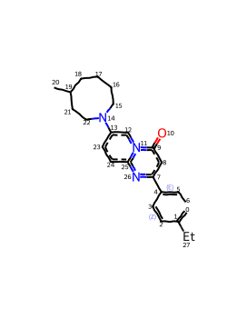 C=C(/C=C\C(=C/C)c1cc(=O)n2cc(N3CCCCC(C)CC3)ccc2n1)CC